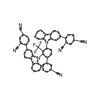 N#Cc1cccc(-c2ccc(-n3c4ccccc4c4ccc(-c5ccc(C#N)cc5C#N)cc43)c(C(F)(F)F)c2-n2c3ccccc3c3ccc(-c4ccc(C#N)cc4C#N)cc32)c1